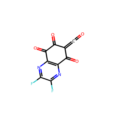 O=C=C1C(=O)C(=O)c2nc(F)c(F)nc2C1=O